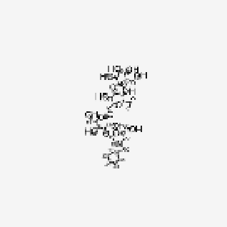 CC(C)C1OC(COC2OC(CO)C(O)C(OC3CN(Cc4ccccc4)CC(CO)O3)C2O)C(O)C(OC2OC(CO)C(O)C(O)C2O)C1O